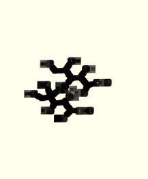 O=CC(O)C(O)C(O)C(O)(CO)S(=O)(=O)O.O=CC(O)C(O)C(O)C(O)CO